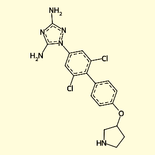 Nc1nc(N)n(-c2cc(Cl)c(-c3ccc(OC4CCNC4)cc3)c(Cl)c2)n1